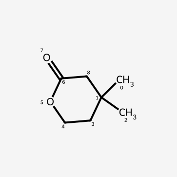 CC1(C)CCOC(=O)C1